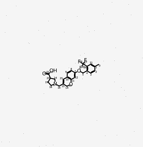 Cc1ccc(COc2ccc3c(c2)OCC(CN2CCC(C(=O)O)C2)=C3)c(C(F)(F)F)c1